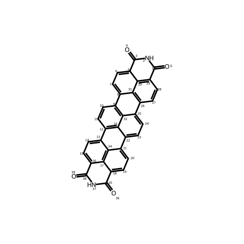 O=C1NC(=O)c2ccc3c4ccc5c6ccc7c8c(ccc(c9ccc(c%10ccc1c2c%103)c4c95)c86)C(=O)NC7=O